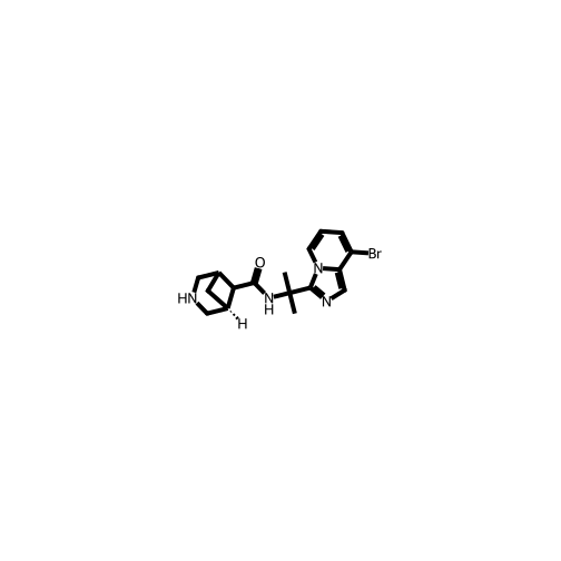 CC(C)(NC(=O)C1C2CNC[C@H]1C2)c1ncc2c(Br)cccn12